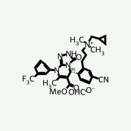 COC(=O)C1=C(C)N(c2cccc(C(F)(F)F)c2)c2n[nH]c(=O)n2[C@@H]1c1ccc(C#N)cc1CCC[N+](C)(C)CC1CC1.O=C[O-]